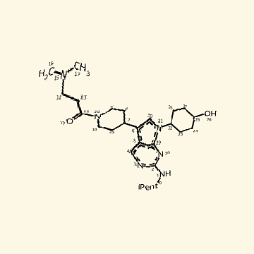 CCCC(C)Nc1ncc2c(C3CCN(C(=O)CCN(C)C)CC3)cn(C3CCC(O)CC3)c2n1